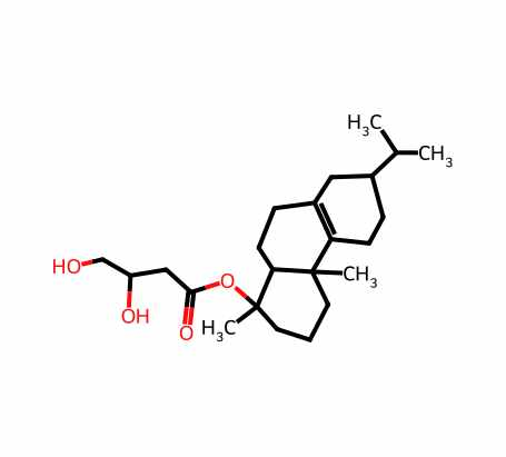 CC(C)C1CCC2=C(CCC3C(C)(OC(=O)CC(O)CO)CCCC23C)C1